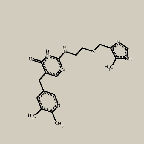 Cc1cc(Cc2cnc(NCCSCc3nc[nH]c3C)[nH]c2=O)cnc1C